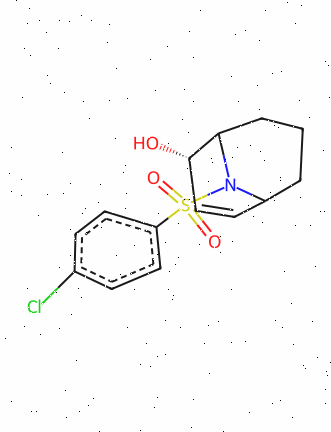 O=S(=O)(c1ccc(Cl)cc1)N1C2C=C[C@H](O)C1CCC2